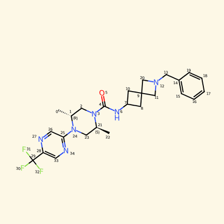 C[C@@H]1CN(C(=O)NC2CC3(C2)CN(Cc2ccccc2)C3)[C@@H](C)CN1c1cnc(C(F)(F)F)cn1